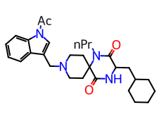 CCCN1C(=O)C(CC2CCCCC2)NC(=O)C12CCN(Cc1cn(C(C)=O)c3ccccc13)CC2